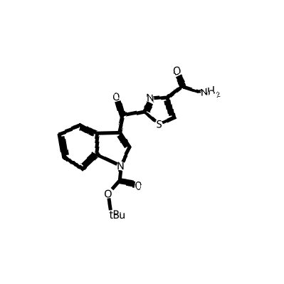 CC(C)(C)OC(=O)n1cc(C(=O)c2nc(C(N)=O)cs2)c2ccccc21